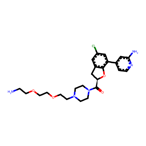 NCCOCCOCCN1CCN(C(=O)[C@H]2Cc3cc(Cl)cc(-c4ccnc(N)c4)c3O2)CC1